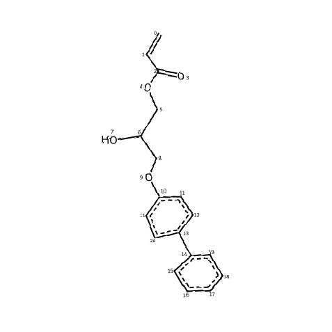 C=CC(=O)OCC(O)COc1ccc(-c2ccccc2)cc1